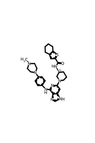 CN1CCN(c2ccc(Nc3nc(N4CCC[C@H](NC(=O)c5cc6c(s5)CCCC6)C4)cc4[nH]cnc34)cc2)CC1